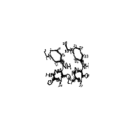 CCN1CCC[C@@H](Nc2n[nH]c(=O)n(C)c2=O)C1.CCN1CCC[C@@H](Nc2nnc(Cl)n(C)c2=O)C1